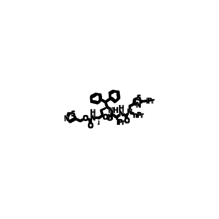 CCCN(Cc1csc(C(C)C)n1)C(=O)N[C@H](C(=O)N[C@@H](C[C@H](O)[C@H](C)NC(=O)OCc1cncs1)C(c1ccccc1)c1ccccc1)C(C)C